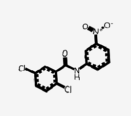 O=C(Nc1cccc([N+](=O)[O-])c1)c1cc(Cl)ccc1Cl